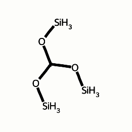 [SiH3]O[C](O[SiH3])O[SiH3]